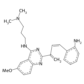 C=C(/C=C\c1ccccc1N)c1nc(NCCCN(C)C)c2cc(OC)ccc2n1